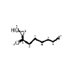 O=C(CCCCCI)OO